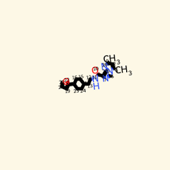 Cc1cc(C)n2cnc(C(=O)NCCC3CCC(c4ccco4)CC3)c2n1